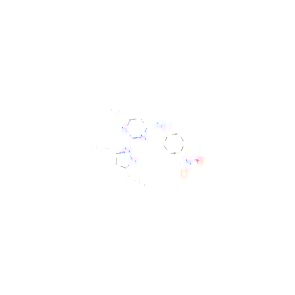 Cc1cc(Nc2ccc([N+](=O)[O-])cc2)nc(-n2nc(C)cc2C)n1